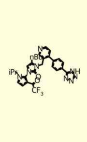 CCCCc1cn(-c2c(C(=O)C(F)(F)F)ccn2C(C)C)c(=O)n1Cc1cnccc1-c1ccc(-c2nnn[nH]2)cc1